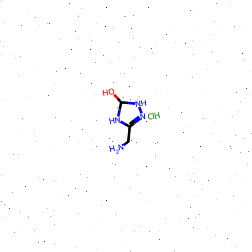 Cl.NCC1=NNC(O)N1